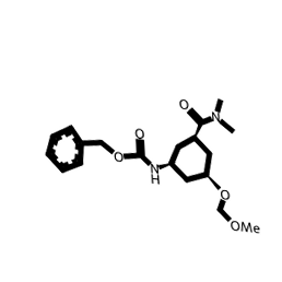 COCO[C@H]1C[C@@H](NC(=O)OCc2ccccc2)C[C@@H](C(=O)N(C)C)C1